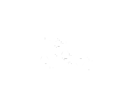 O=S1(=O)CC=Cc2cc(Nc3ncc(-c4nc(C(F)(F)F)n[nH]4)c(N[C@H](CO)c4ccccc4)n3)ccc21